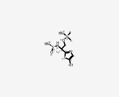 CCc1cnc([C@](C)(CO[Si](C)(C)C(C)(C)C)N[S@@+]([O-])C(C)(C)C)s1